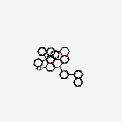 CC1C=CC(N(c2cccc(-c3cccc4ccccc34)c2)c2ccccc2-c2cccc3cccc(C4CCCCC4)c23)=C2c3ccccc3C(c3ccccc3)(c3ccccc3)C21